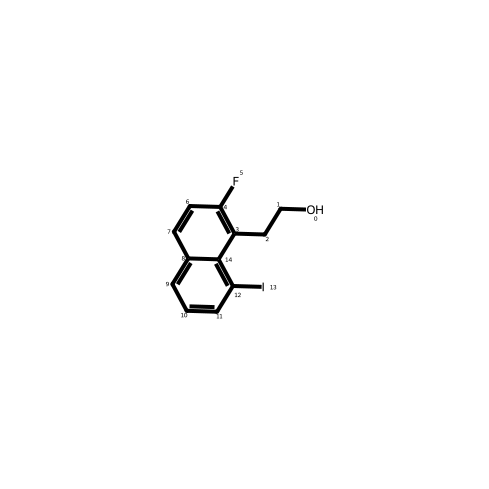 OCCc1c(F)ccc2cccc(I)c12